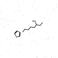 CCCCCC(O)CC.c1ccsc1